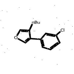 [CH2]CCCc1cocc1-c1cccc(Cl)c1